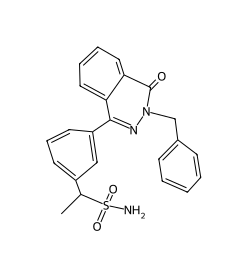 CC(c1cccc(-c2nn(Cc3ccccc3)c(=O)c3ccccc23)c1)S(N)(=O)=O